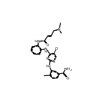 Cc1ccc(C(N)=O)cc1Nc1ncc(Cl)c(Nc2ccccc2NC(=O)/C=C/CN(C)C)n1